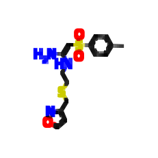 Cc1ccc(S(=O)(=O)C=C(N)NCCSCc2ccon2)cc1